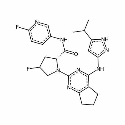 CC(C)c1cc(Nc2nc(N3CC(F)C[C@@H]3C(=O)Nc3ccc(F)nc3)nc3c2CCC3)n[nH]1